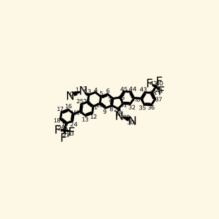 N#C/N=C1/Cc2cc3c(cc2-c2ccc(-c4cccc(C(F)(F)F)c4)cc21)/C(=N/C#N)c1cc(-c2cccc(C(F)(F)F)c2)ccc1-3